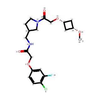 O=C(COc1ccc(Cl)c(F)c1)NCC1CCN(C(=O)CO[C@H]2C[C@@H](OC(F)(F)F)C2)C1